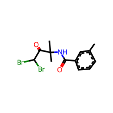 Cc1cccc(C(=O)NC(C)(C)C(=O)C(Br)Br)c1